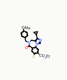 CCOC(=O)c1cc2c(cc1F)C(=O)N(Cc1ccc(OC)cc1)Cc1c(C3CC3)ncn1-2